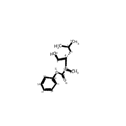 CC(C)C[C@@H](CO)N(C)C(=O)Oc1ccccc1